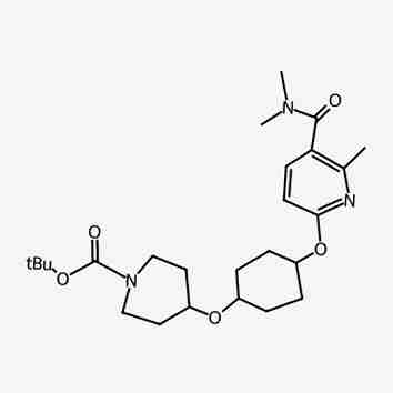 Cc1nc(OC2CCC(OC3CCN(C(=O)OC(C)(C)C)CC3)CC2)ccc1C(=O)N(C)C